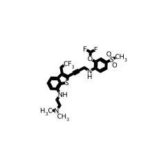 CN(C)CCNc1cccc2c(CC(F)(F)F)c(C#CCNc3ccc(S(C)(=O)=O)cc3OC(F)F)sc12